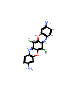 Nc1ccc2c(c1)Oc1c(Cl)c3c(c(Cl)c1=N2)Oc1cc(N)ccc1N=3